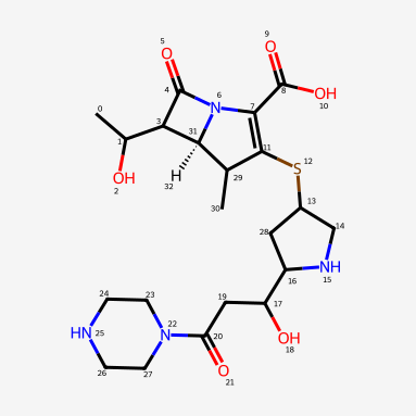 CC(O)C1C(=O)N2C(C(=O)O)=C(SC3CNC(C(O)CC(=O)N4CCNCC4)C3)C(C)[C@@H]12